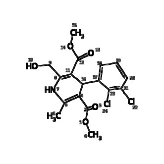 COC(=O)C1=C(C)NC(CO)=C(C(=O)OC)C1c1cccc(Cl)c1Cl